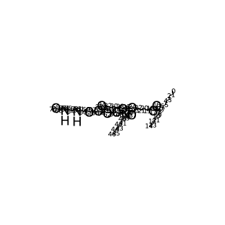 CCCCCCCCC(CCCCCC)C(=O)OCCCCCCOC(COCCCCCCOC)C(=O)N(CCCCCCCC)CCOCCOCCOCCOCCCNCCCNCCOC